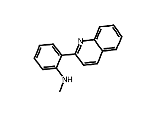 CNc1ccccc1-c1ccc2ccccc2n1